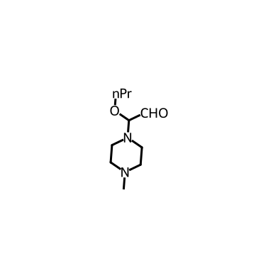 [CH2]CCOC(C=O)N1CCN(C)CC1